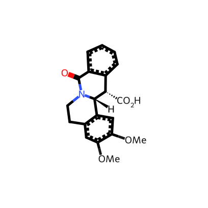 COc1cc2c(cc1OC)[C@H]1[C@@H](C(=O)O)c3ccccc3C(=O)N1CC2